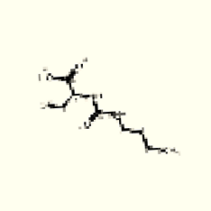 CCCCNC(=O)N[C@@H](CS)C(=O)O